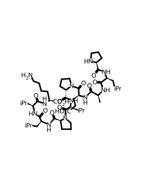 CC(C)C[C@H](NC(=O)[C@@H]1CCCN1)C(=O)N[C@@H](C)C(=O)N[C@@H](CCC(=O)O)C(=O)N1CCC[C@H]1C(=O)N[C@H](C(=O)N1CCC[C@H]1C(=O)N[C@@H](CC(C)C)C(=O)N[C@H](C(=O)N[C@@H](CCCCN)C(=O)O)C(C)C)C(C)C